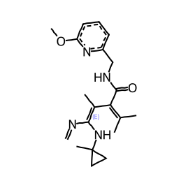 C=N/C(NC1(C)CC1)=C(\C)C(C(=O)NCc1cccc(OC)n1)=C(C)C